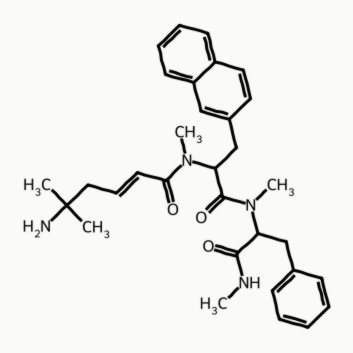 CNC(=O)C(Cc1ccccc1)N(C)C(=O)C(Cc1ccc2ccccc2c1)N(C)C(=O)C=CCC(C)(C)N